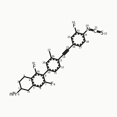 CCCC1CCc2c(cc(F)c(-c3ccc(C#Cc4ccc(N=C=S)c(F)c4)c(C)c3)c2F)C1